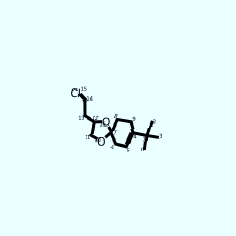 CC(C)(C)C1=CCC2(CC1)OCC(CCCl)O2